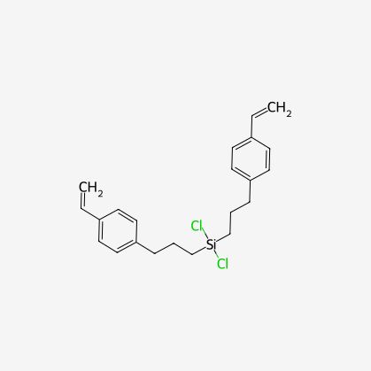 C=Cc1ccc(CCC[Si](Cl)(Cl)CCCc2ccc(C=C)cc2)cc1